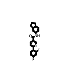 O=C(Nc1ccc2c(c1)CCC2)c1ccc(-c2ccc(F)cc2F)nc1